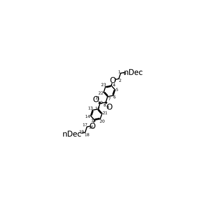 CCCCCCCCCCCCOc1ccc(C(=O)C(=O)c2ccc(OCCCCCCCCCCCC)cc2)cc1